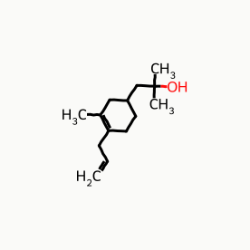 C=CCC1=C(C)CC(CC(C)(C)O)CC1